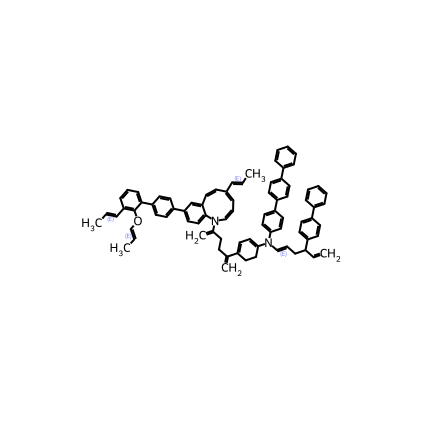 C=CC(C/C=C/N(C1=CC=C(C(=C)CCC(=C)n2cccc(/C=C/C)ccc3cc(-c4ccc(-c5cccc(/C=C/C)c5O/C=C/C)cc4)ccc32)CC1)c1ccc(-c2ccc(-c3ccccc3)cc2)cc1)c1ccc(-c2ccccc2)cc1